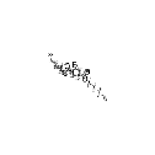 CCCCCCCCOC(=O)c1ccc(C2OCC(CCCC)CO2)c(F)c1